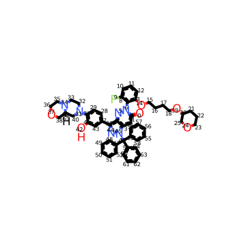 O=c1cc2c(nn1-c1c(F)cccc1OCCCCOC1CCCOC1)c(-c1ccc(N3CCN4CCOC[C@H]4C3)c(O)c1)nn2C(c1ccccc1)(c1ccccc1)c1ccccc1